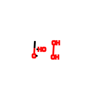 C[O].OO.[OH]